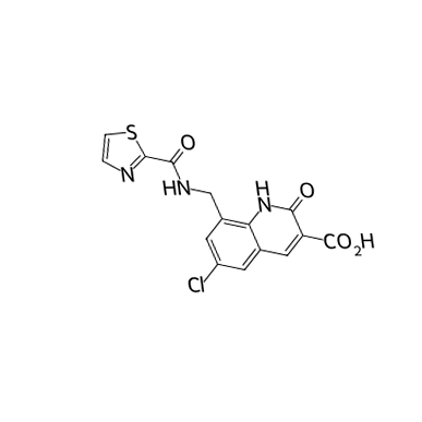 O=C(NCc1cc(Cl)cc2cc(C(=O)O)c(=O)[nH]c12)c1nccs1